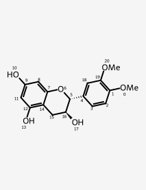 COc1ccc([C@H]2Oc3cc(O)cc(O)c3C[C@@H]2O)cc1OC